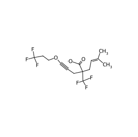 CC(C)=CCC(CC#COCCC(F)(F)F)(C([O])=O)C(F)(F)F